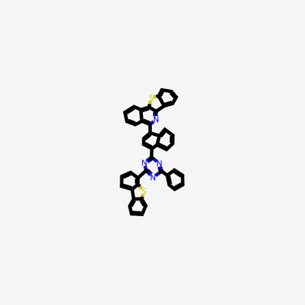 c1ccc(-c2nc(-c3ccc(-c4nc5c6ccccc6sc5c5ccccc45)c4ccccc34)nc(-c3cccc4c3sc3ccccc34)n2)cc1